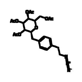 CC(=O)OCC1O[C@@H](Cc2ccc(CCN=[N+]=[N-])cc2)C(OC(C)=O)C(OC(C)=O)[C@H]1OC(C)=O